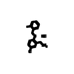 Cc1ccccc1COc1ccc(Cl)cc1CN.Cl